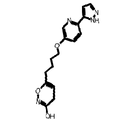 OC1=NOC(CCCCOc2ccc(-c3ccn[nH]3)nc2)=CC1